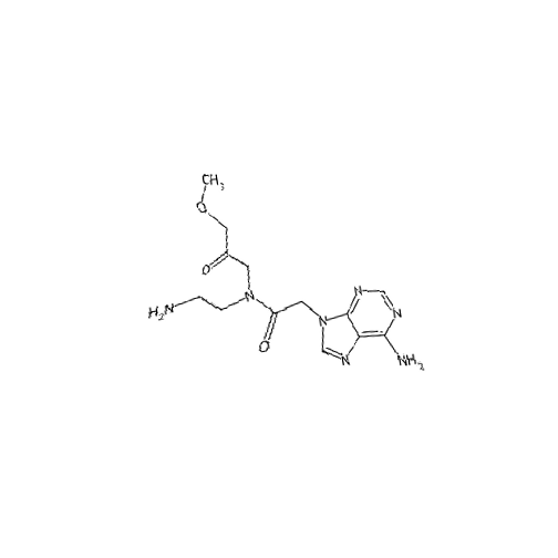 COCC(=O)CN(CCN)C(=O)Cn1cnc2c(N)ncnc21